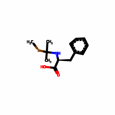 CSC(C)(C)N[C@@H](Cc1ccccc1)C(=O)O